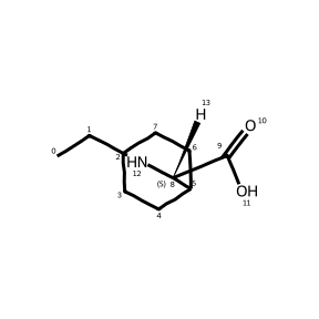 CCC12CCC(CC1)[C@@H](C(=O)O)N2